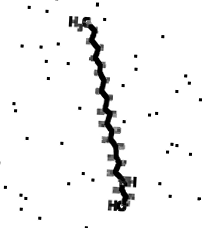 CCCCCCCCCCCCCCCCCCCNCCO